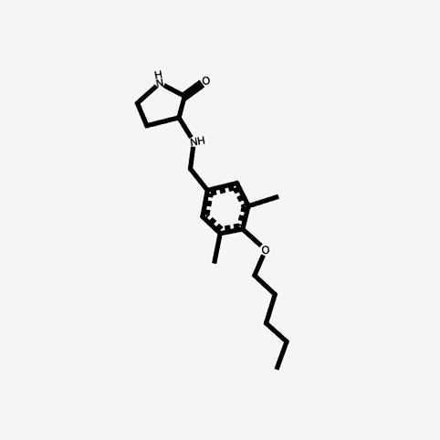 CCCCCOc1c(C)cc(CNC2CCNC2=O)cc1C